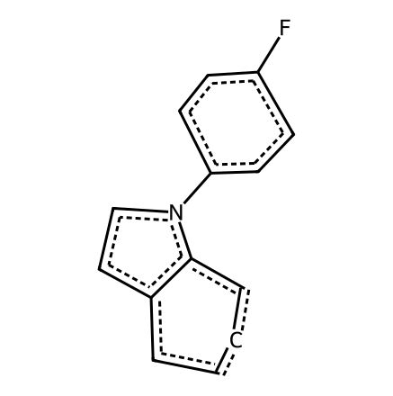 Fc1ccc(-n2ccc3ccccc32)cc1